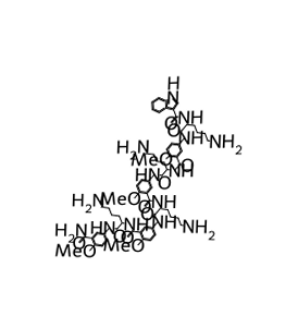 COc1ccc(NC(=O)C(CCCCN)NC(=O)c2cc(NC(=O)C(CCCCN)NC(=O)c3cc(NC(=O)C(CCCCN)NC(=O)c4cc(NC(=O)C(CCCCN)NC(=O)c5c[nH]c6ccccc56)ccc4OC)ccc3OC)ccc2OC)cc1C(N)=O